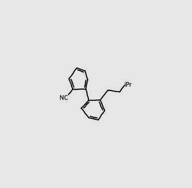 CC(C)CCc1ccccc1-c1ccccc1C#N